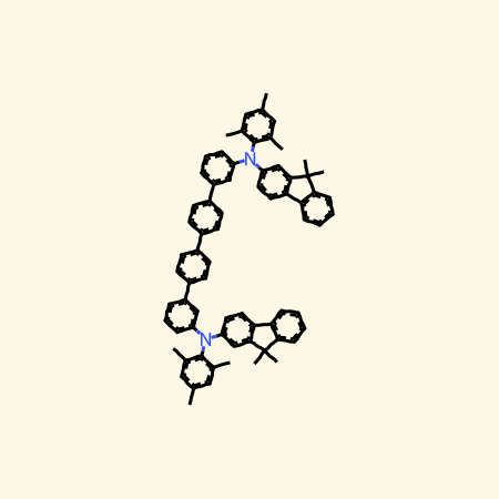 Cc1cc(C)c(N(c2cccc(-c3ccc(-c4ccc(-c5cccc(N(c6ccc7c(c6)C(C)(C)c6ccccc6-7)c6c(C)cc(C)cc6C)c5)cc4)cc3)c2)c2ccc3c(c2)C(C)(C)c2ccccc2-3)c(C)c1